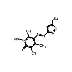 CCCCn1c(O)c(N=Nc2cc(C(C)(C)C)on2)c(C)c(C#N)c1=O